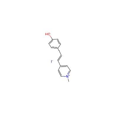 C[n+]1ccc(C=Cc2ccc(O)cc2)cc1.[I-]